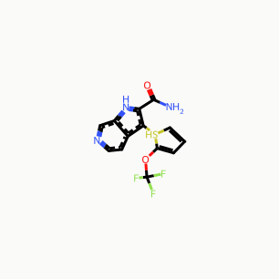 NC(=O)c1[nH]c2cnccc2c1[SH]1C=CC=C1OC(F)(F)F